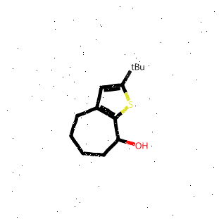 CC(C)(C)c1cc2c(s1)C(O)CCCC2